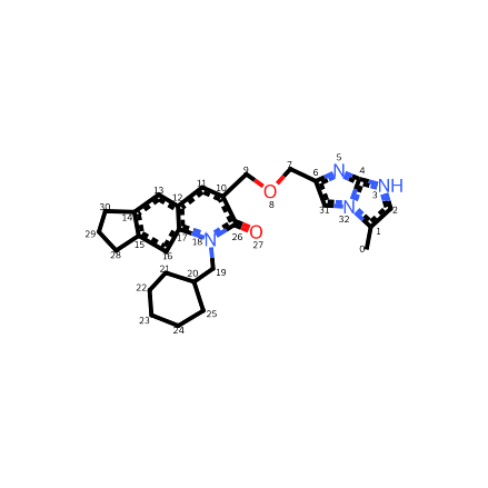 Cc1c[nH]c2nc(COCc3cc4cc5c(cc4n(CC4CCCCC4)c3=O)CCC5)cn12